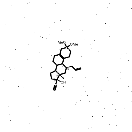 C#C[C@]1(O)CCC2C3CCC4=C(CCC(OC)(OC)C4)C3[C@@H](CC=C)C[C@@]21C